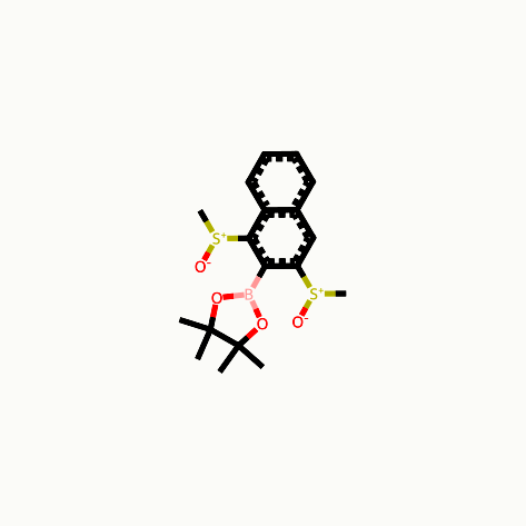 C[S+]([O-])c1cc2ccccc2c([S+](C)[O-])c1B1OC(C)(C)C(C)(C)O1